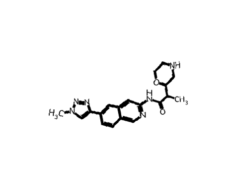 CC(C(=O)Nc1cc2cc(-c3cn(C)nn3)ccc2cn1)C1CNCCO1